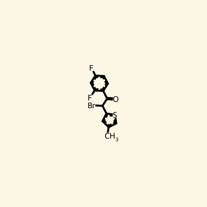 Cc1csc(C(Br)C(=O)c2ccc(F)cc2F)c1